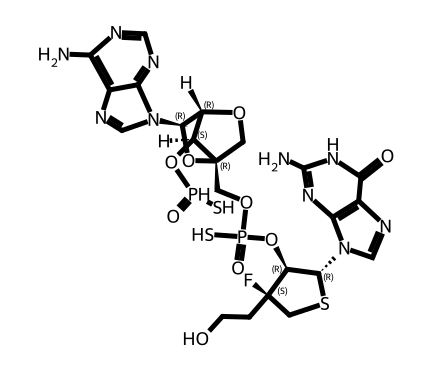 Nc1nc2c(ncn2[C@@H]2SC[C@](F)(CCO)[C@H]2OP(=O)(S)OC[C@@]23CO[C@@H]([C@H](n4cnc5c(N)ncnc54)O2)[C@@H]3O[PH](=O)S)c(=O)[nH]1